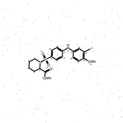 COC(=O)C1CCCCN1S(=O)(=O)c1ccc(Nc2ccc(OC)c(I)c2)cc1